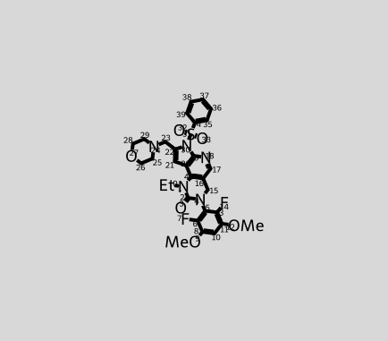 CCN1C(=O)N(c2c(F)c(OC)cc(OC)c2F)Cc2cnc3c(cc(CN4CCOCC4)n3S(=O)(=O)c3ccccc3)c21